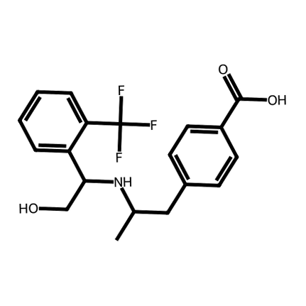 CC(Cc1ccc(C(=O)O)cc1)NC(CO)c1ccccc1C(F)(F)F